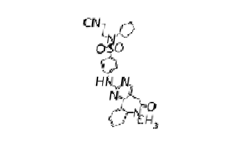 [C-]#[N+]CCN(C1CCCC1)S(=O)(=O)c1ccc(Nc2ncc3c(n2)-c2ccccc2N(C)C(=O)C3)cc1